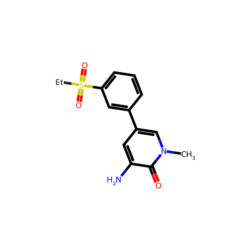 CCS(=O)(=O)c1cccc(-c2cc(N)c(=O)n(C)c2)c1